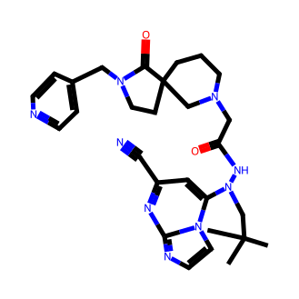 CC(C)(C)CN(NC(=O)CN1CCCC2(CCN(Cc3ccncc3)C2=O)C1)c1cc(C#N)nc2nccn12